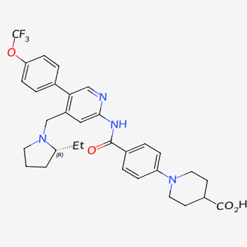 CC[C@@H]1CCCN1Cc1cc(NC(=O)c2ccc(N3CCC(C(=O)O)CC3)cc2)ncc1-c1ccc(OC(F)(F)F)cc1